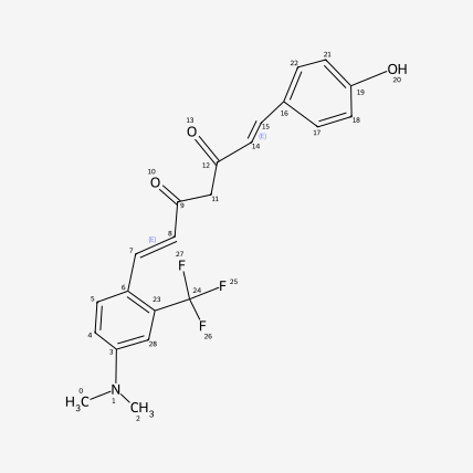 CN(C)c1ccc(/C=C/C(=O)CC(=O)/C=C/c2ccc(O)cc2)c(C(F)(F)F)c1